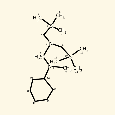 CN([SiH2]N(C[Si](C)(C)C)C[Si](C)(C)C)C1CCCCC1